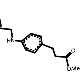 C=CCNc1ccc(CCC(=O)OC)cc1